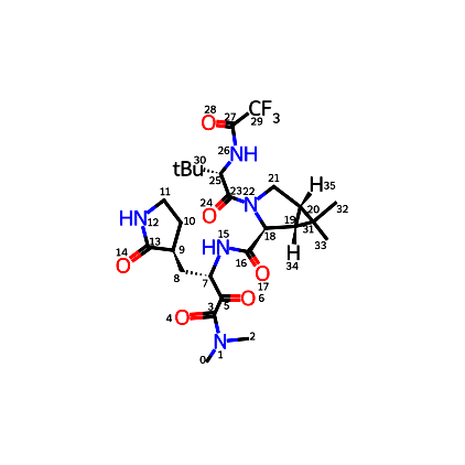 CN(C)C(=O)C(=O)[C@H](C[C@@H]1CCNC1=O)NC(=O)[C@@H]1[C@@H]2[C@H](CN1C(=O)[C@@H](NC(=O)C(F)(F)F)C(C)(C)C)C2(C)C